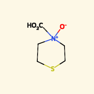 O=C(O)[N+]1([O-])CCSCC1